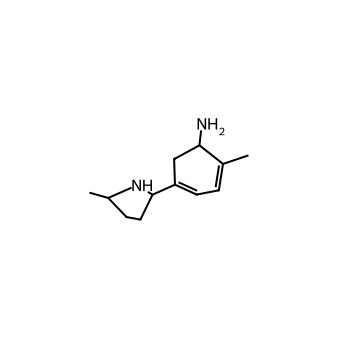 CC1=CC=C(C2CCC(C)N2)CC1N